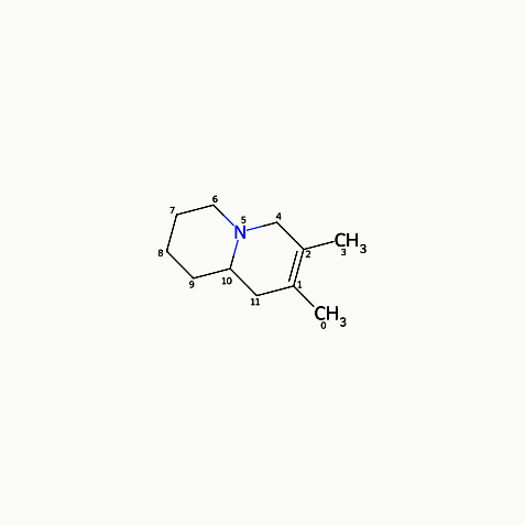 CC1=C(C)CN2CCCCC2C1